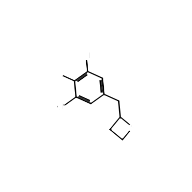 Fc1c(Cl)cc([CH]C2CCS2)cc1Cl